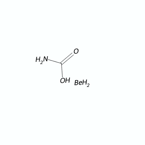 NC(=O)O.[BeH2]